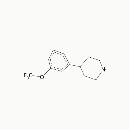 FC(F)(F)Oc1cccc(C2CC[N]CC2)c1